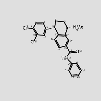 CN[C@H]1CC[C@@H](c2ccc(Cl)c(Cl)c2)c2ccc(C(=O)Nc3ccccc3)cc21